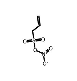 C=CCS(=O)(=O)O[N+](=O)[O-]